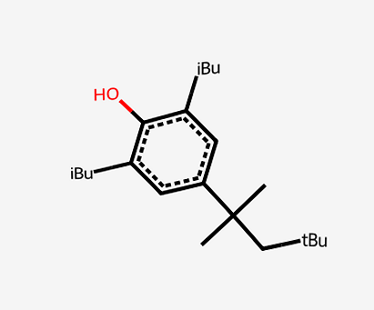 CCC(C)c1cc(C(C)(C)CC(C)(C)C)cc(C(C)CC)c1O